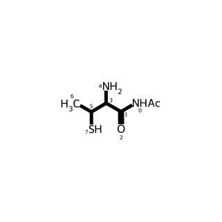 CC(=O)NC(=O)C(N)C(C)S